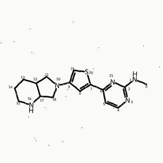 CNc1nccc(-c2cc(N3CC4CCCNC4C3)cs2)n1